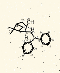 CC1(C)C2CC1[C@H](CP(c1ccccc1)c1ccccc1)[C@H](O)C2